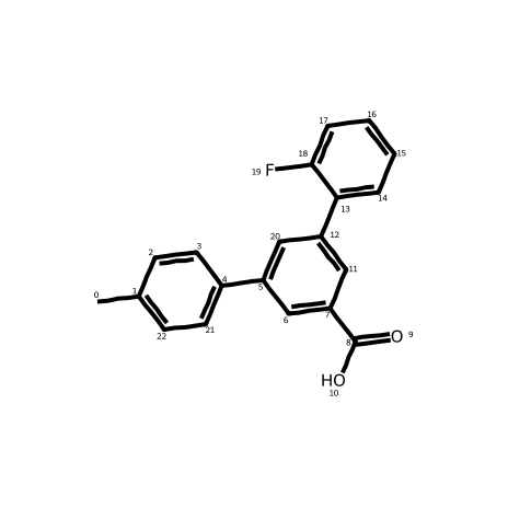 Cc1ccc(-c2cc(C(=O)O)cc(-c3ccccc3F)c2)cc1